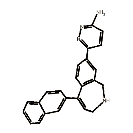 Nc1ccc(-c2ccc3c(c2)CNCC=C3c2ccc3ccccc3c2)nn1